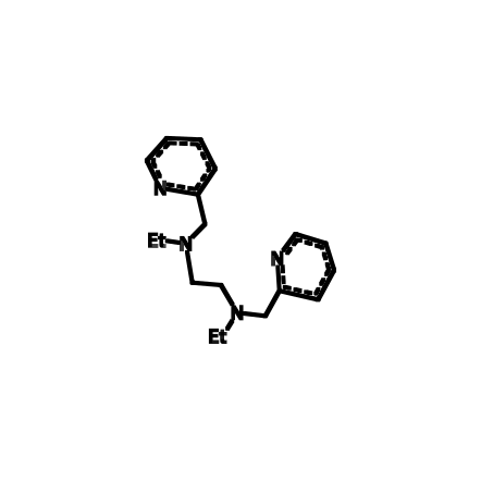 CCN(CCN(CC)Cc1ccccn1)Cc1ccccn1